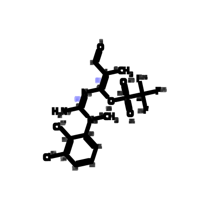 C/C(C=O)=C(/N=C(/N)N(C)c1cccc(Cl)c1Cl)OS(=O)(=O)C(F)(F)F